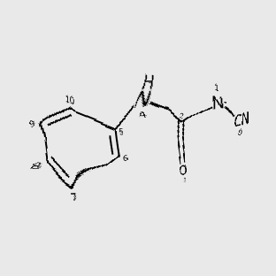 N#C[N]C(=O)Nc1ccccc1